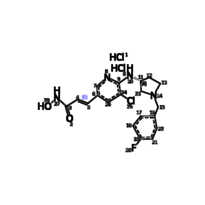 Cl.Cl.O=C(/C=C/c1cnc(N[C@@H]2CCN(Cc3ccc(F)cc3)C2)c(Cl)c1)NO